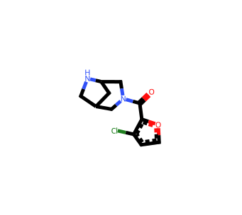 O=C(c1occc1Cl)N1CC2CNC(C2)C1